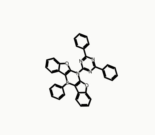 c1ccc(B2c3c(oc4ccccc34)N(c3nc(-c4ccccc4)nc(-c4ccccc4)n3)c3oc4ccccc4c32)cc1